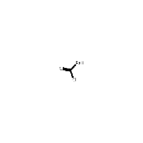 O=[C](Cl)[RaH]